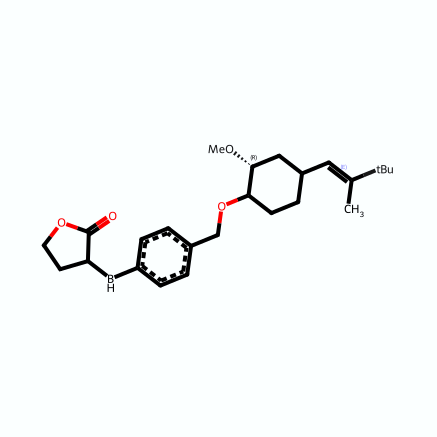 CO[C@@H]1CC(/C=C(\C)C(C)(C)C)CCC1OCc1ccc(BC2CCOC2=O)cc1